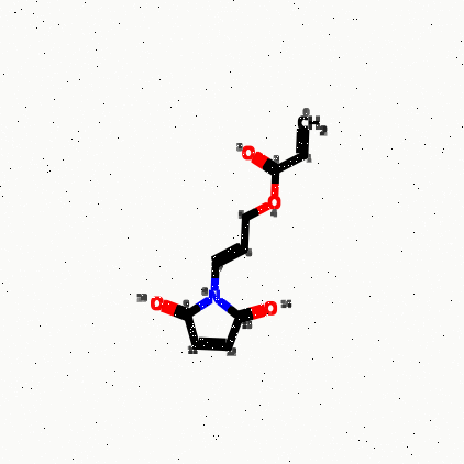 C=CC(=O)OCC=CN1C(=O)C=CC1=O